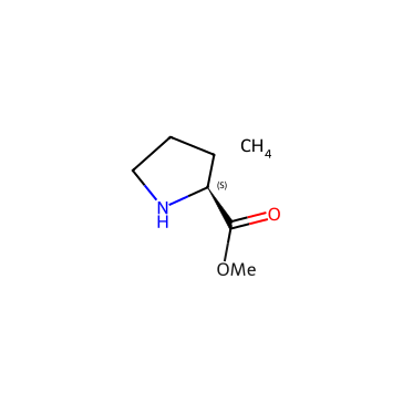 C.COC(=O)[C@@H]1CCCN1